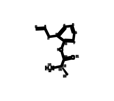 C=CCc1ccccc1OC(=O)[C@H](C)N